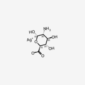 N[C@@H]1[C@@H](O)[C@H](O)[C@@H](C(=O)[O-])O[C@@H]1O.[Ag+]